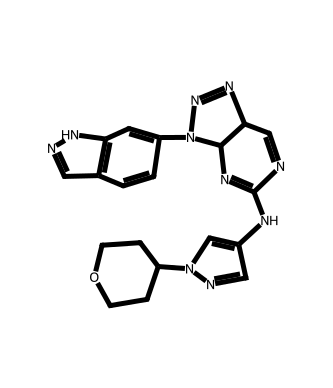 C1=NC(Nc2cnn(C3CCOCC3)c2)=NC2C1N=NN2c1ccc2cn[nH]c2c1